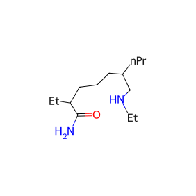 CCCC(CCCC(CC)C(N)=O)CNCC